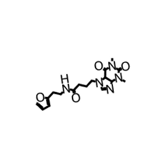 CN1C(=O)C2C(N=CN2CCCC(=O)NCCc2ccco2)N(C)C1=O